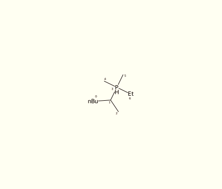 CCCCC(C)[PH](C)(C)CC